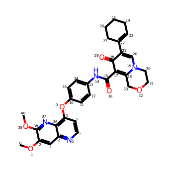 COc1cc2nccc(Oc3ccc(NC(=O)c4c5n(cc(C6=CCCCC6)c4=O)CCOC5)cc3)c2nc1OC